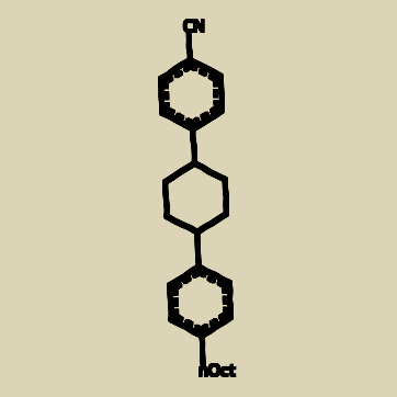 CCCCCCCCc1ccc(C2CCC(c3ccc(C#N)cc3)CC2)cc1